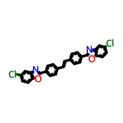 Clc1ccc2oc(-c3ccc(/C=C/c4ccc(-c5nc6cc(Cl)ccc6o5)cc4)cc3)nc2c1